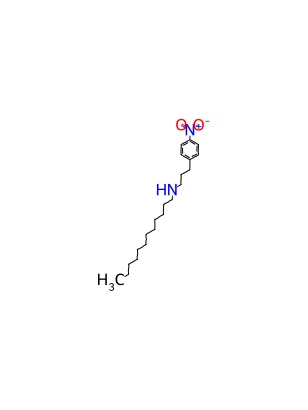 CCCCCCCCCCCCNCCCc1ccc([N+](=O)[O-])cc1